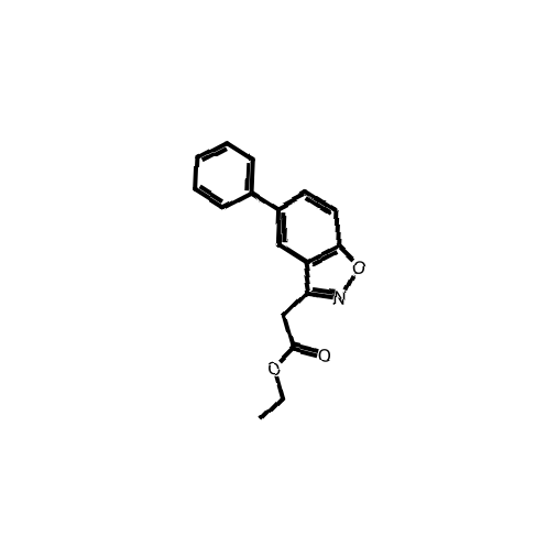 CCOC(=O)Cc1noc2ccc(-c3ccccc3)cc12